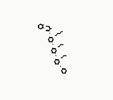 CC(=O)Nc1cc(N=Nc2cc(SCCCS(=O)(=O)O)c(N=Nc3cc(OCCCCS(=O)(=O)O)c(N=Nc4c(C)c(C#N)c5nc6ccccc6n5c4O)cc3C)cc2NC(C)=O)c(SCCCS(=O)(=O)O)cc1N=Nc1ccc(Cl)cc1